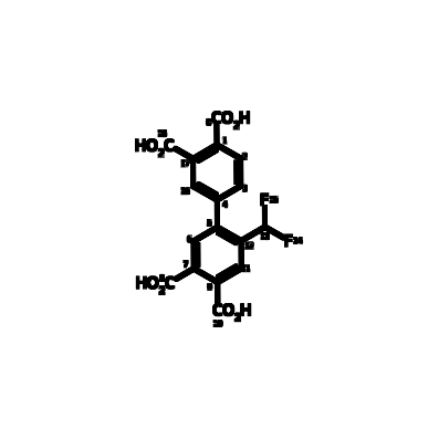 O=C(O)c1ccc(-c2cc(C(=O)O)c(C(=O)O)cc2C(F)F)cc1C(=O)O